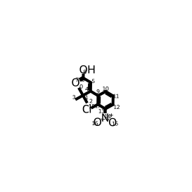 CC(C)(C)/C(=C\C(=O)O)c1cccc([N+](=O)[O-])c1Cl